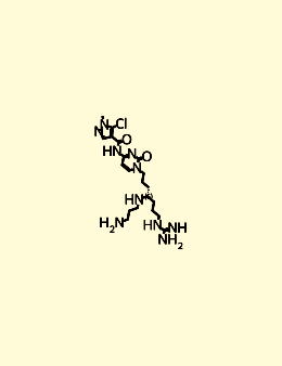 Cn1ncc(C(=O)Nc2ccn(CCC[C@H](CCCNC(=N)N)NCCCN)c(=O)n2)c1Cl